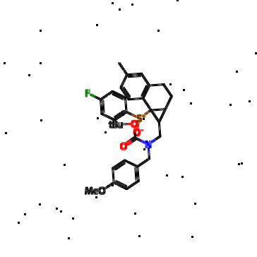 COc1ccc(CN(CC2C3CCc4cc(C)ccc4C32[S+]([O-])c2ccc(F)cc2)C(=O)OC(C)(C)C)cc1